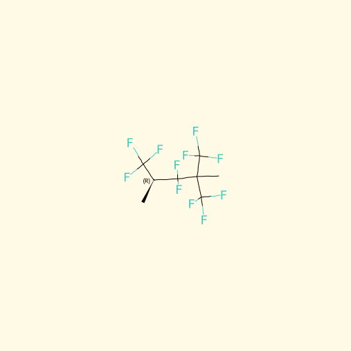 C[C@@H](C(F)(F)F)C(F)(F)C(C)(C(F)(F)F)C(F)(F)F